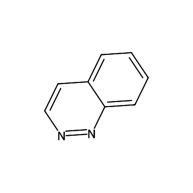 c1ccc2nnccc2c1